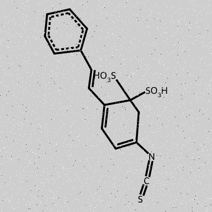 O=S(=O)(O)C1(S(=O)(=O)O)CC(N=C=S)=CC=C1C=Cc1ccccc1